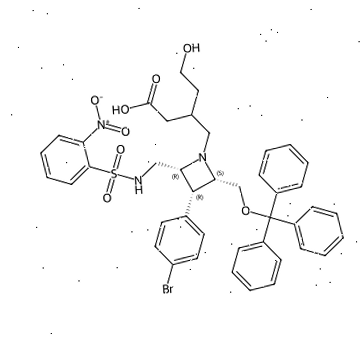 O=C(O)CC(CCO)CN1[C@H](COC(c2ccccc2)(c2ccccc2)c2ccccc2)[C@H](c2ccc(Br)cc2)[C@@H]1CNS(=O)(=O)c1ccccc1[N+](=O)[O-]